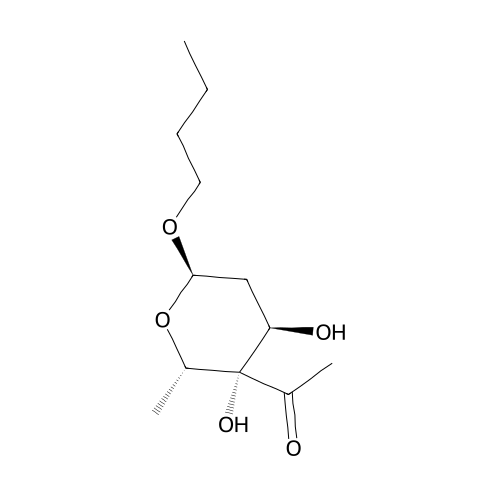 CCCCO[C@H]1C[C@@H](O)[C@@](O)(C(C)=O)[C@H](C)O1